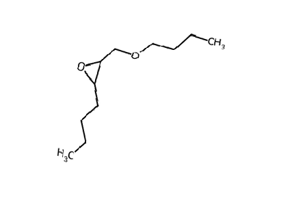 CCCCOCC1OC1CCCC